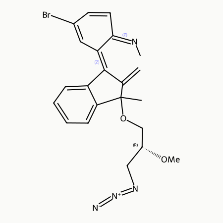 C=C1/C(=C2/C=C(Br)C=C/C2=N/C)c2ccccc2C1(C)OC[C@@H](CN=[N+]=[N-])OC